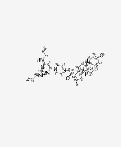 C=CCNc1cc(N2CCN(CC(=O)[C@H]3[C@H](C)C[C@H]4[C@@H]5CCC6=CC(=O)C=C[C@]6(C)[C@H]5CC[C@@]43C)CC2)nc(NCC=C)n1